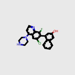 Oc1cc(-c2c(Cl)cc3c(N4CCNCC4)ccnc3c2F)c2ccccc2c1